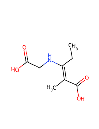 CCC(NCC(=O)O)=C(C)C(=O)O